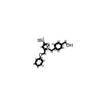 CC(C)(C)c1cc(COc2ccccc2)n(Cc2ccc(CO)cc2)n1